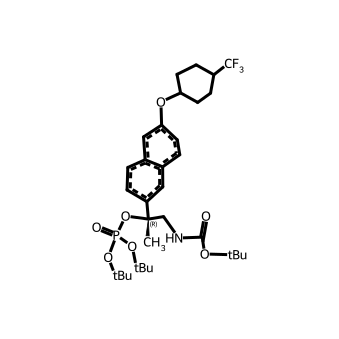 CC(C)(C)OC(=O)NC[C@](C)(OP(=O)(OC(C)(C)C)OC(C)(C)C)c1ccc2cc(OC3CCC(C(F)(F)F)CC3)ccc2c1